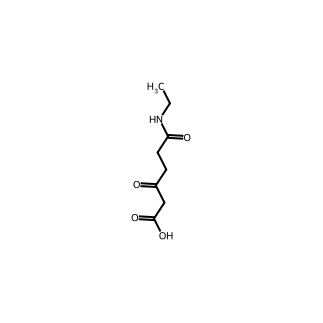 CCNC(=O)CCC(=O)CC(=O)O